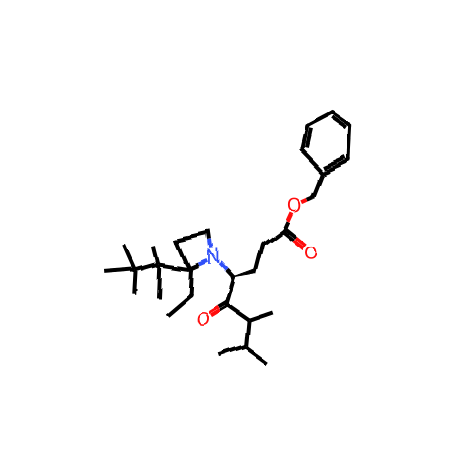 CCC1(C(C)(C)C(C)(C)C)CCN1[C@@H](CCC(=O)OCc1ccccc1)C(=O)C(C)C(C)C